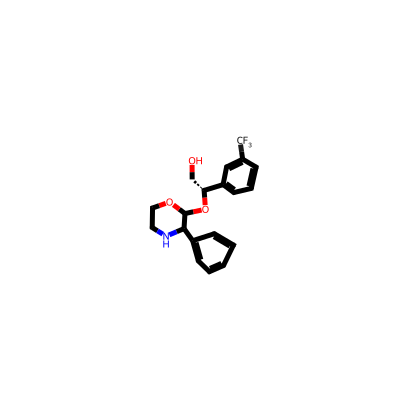 OC[C@@H](OC1OCCNC1c1ccccc1)c1cccc(C(F)(F)F)c1